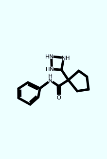 O=C(Nc1ccccc1)C1(C2NNN2)CCCC1